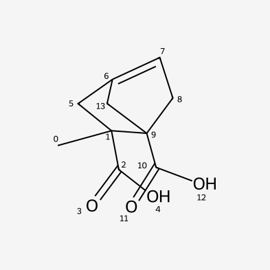 CC1(C(=O)O)CC2=CCC1(C(=O)O)C2